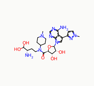 CN1CCC(N(CC[C@H](N)C(O)O)C(=O)[C@H]2O[C@@H](n3cc(-c4ccn(C)n4)c4c(N)ncnc43)[C@H](O)[C@@H]2O)CC1